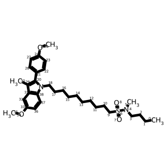 CCCCN(C)S(=O)(=O)CCCCCCCCCCn1c(-c2ccc(OC)cc2)c(C)c2cc(OC)ccc21